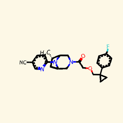 C[C@H]1CC2CN(C(=O)COCC3(c4ccc(F)cc4)CC3)CC1N2c1ccc(C#N)cn1